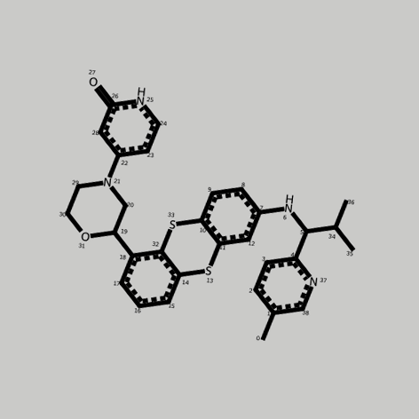 Cc1ccc(C(Nc2ccc3c(c2)Sc2cccc(C4CN(c5cc[nH]c(=O)c5)CCO4)c2S3)C(C)C)nc1